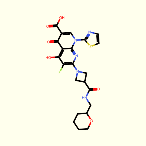 O=C(O)c1cn(-c2nccs2)c2nc(N3CC(C(=O)NCC4CCCCO4)C3)c(F)c(O)c2c1=O